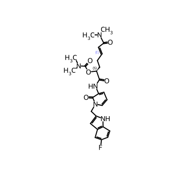 CN(C)C(=O)/C=C/CC[C@H](OC(=O)N(C)C)C(=O)Nc1cccn(Cc2cc3cc(F)ccc3[nH]2)c1=O